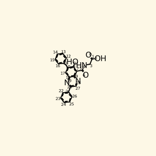 O=C(O)CNC(=O)c1c(O)c(-c2ccccc2)cc2nc(-c3ccccc3)cnc12